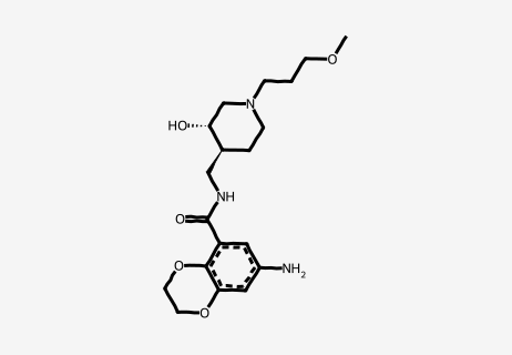 COCCCN1CC[C@@H](CNC(=O)c2cc(N)cc3c2OCCO3)[C@H](O)C1